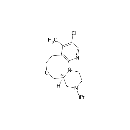 Cc1c(Cl)cnc2c1CCOC[C@@H]1CN(C(C)C)CCN21